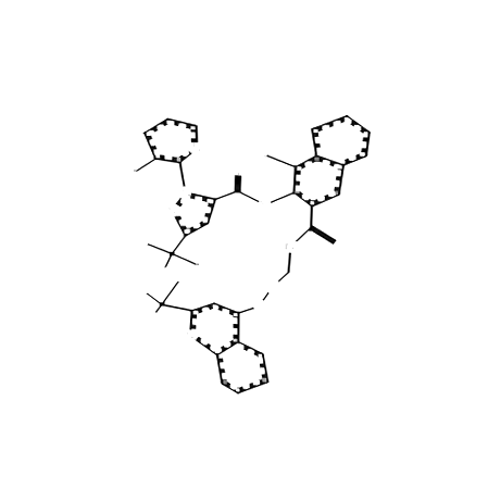 O=C(NCCSc1cc(C(F)(F)F)nc2ccccc12)c1cc2ccccc2c(Cl)c1NC(=O)c1cc(C(F)(F)F)nn1-c1ncccc1Cl